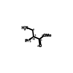 COC(=O)[C@H](CN)C(C)C